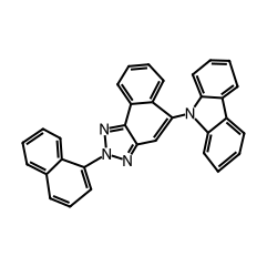 c1ccc2c(-n3nc4cc(-n5c6ccccc6c6ccccc65)c5ccccc5c4n3)cccc2c1